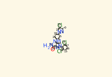 Cc1nn(-c2ccc(Nc3cn(-c4c(Cl)cccc4Cl)nc3C(N)=O)cc2)cc1Cl